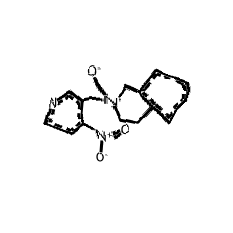 O=[N+]([O-])c1ccncc1[N+]1([O-])CCc2ccccc2C1